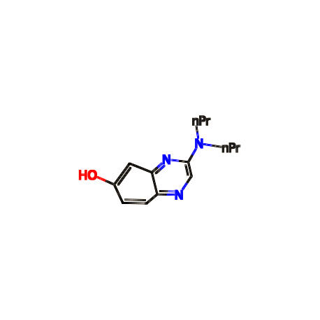 CCCN(CCC)c1cnc2ccc(O)cc2n1